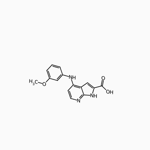 COc1cccc(Nc2ccnc3[nH]c(C(=O)O)cc23)c1